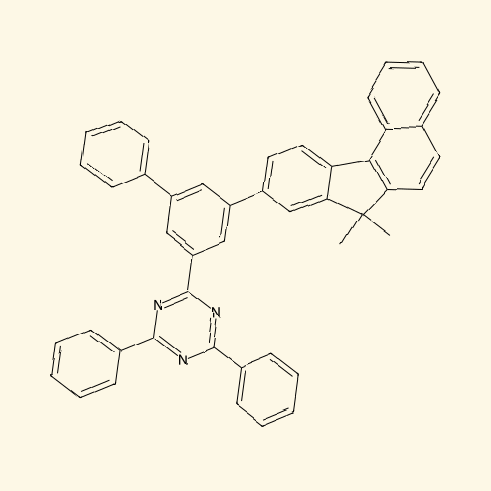 CC1(C)c2cc(-c3cc(-c4ccccc4)cc(-c4nc(-c5ccccc5)nc(-c5ccccc5)n4)c3)ccc2-c2c1ccc1ccccc21